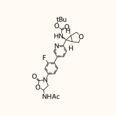 CC(=O)NC1CN(c2ccc(-c3ccc([C@@]4(NC(=O)OC(C)(C)C)[C@@H]5COC[C@@H]54)nc3)c(F)c2)C(=O)O1